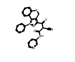 N#CC(C(=O)Nc1cccnc1)C(=O)c1nn(-c2ccccc2)c2c1CSc1ccccc1-2